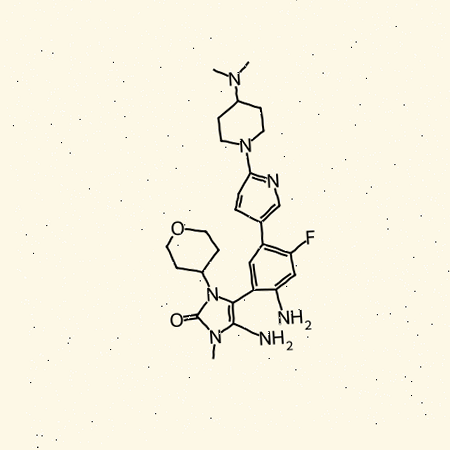 CN(C)C1CCN(c2ccc(-c3cc(-c4c(N)n(C)c(=O)n4C4CCOCC4)c(N)cc3F)cn2)CC1